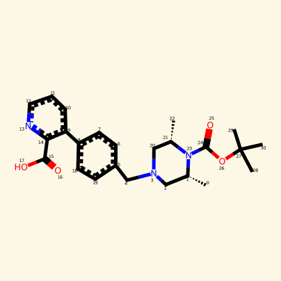 C[C@@H]1CN(Cc2ccc(-c3cccnc3C(=O)O)cc2)C[C@H](C)N1C(=O)OC(C)(C)C